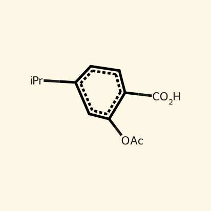 CC(=O)Oc1cc(C(C)C)ccc1C(=O)O